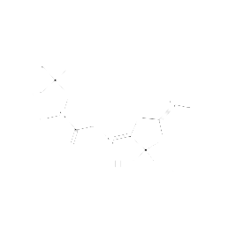 CN=C1SC(=NOC(=O)N(C)SC(Cl)(Cl)Cl)C(C)(C)S1